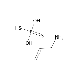 C=CCN.OP(O)(=S)S